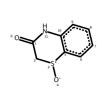 O=C1C[S+]([O-])c2ccccc2N1